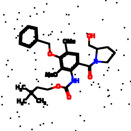 COc1cc(C(=O)N2CCCC2CO)c(NC(=O)OCC[Si](C)(C)C)c(OC)c1OCc1ccccc1